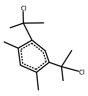 Cc1cc(C)c(C(C)(C)Cl)cc1C(C)(C)Cl